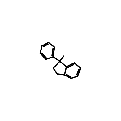 CC1(c2ccccc2)CCc2ccccc21